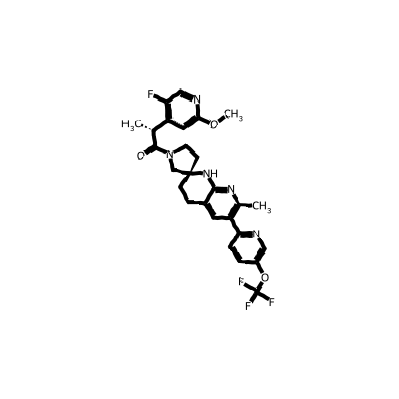 COc1cc([C@@H](C)C(=O)N2CC[C@@]3(CCc4cc(-c5ccc(OC(F)(F)F)cn5)c(C)nc4N3)C2)c(F)cn1